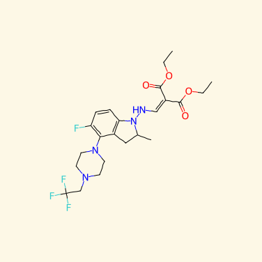 CCOC(=O)C(=CNN1c2ccc(F)c(N3CCN(CC(F)(F)F)CC3)c2CC1C)C(=O)OCC